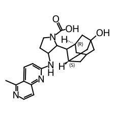 Cc1nccc2nc(NC3CCN(C(=O)O)C3C3[C@@H]4CC5C[C@H]3CC(O)(C5)C4)ccc12